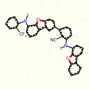 N#Cc1c(-c2ccc3oc4c(N(I)c5ccccc5C(F)(F)F)cccc4c3c2)cccc1N(I)c1cccc2c1oc1ccccc12